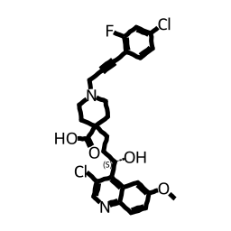 COc1ccc2ncc(Cl)c([C@@H](O)CCC3(C(=O)O)CCN(CC#Cc4ccc(Cl)cc4F)CC3)c2c1